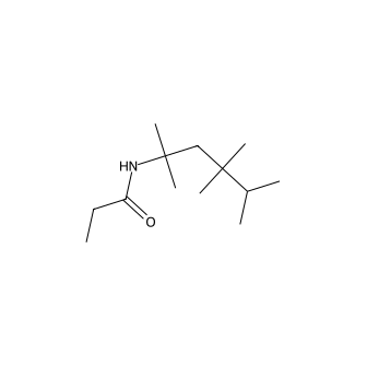 CCC(=O)NC(C)(C)CC(C)(C)C(C)C